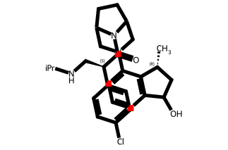 CC(C)NC[C@@H](C(=O)N1C2CCC1CN(c1ncnc3c1[C@H](C)CC3O)C2)c1ccc(Cl)cc1